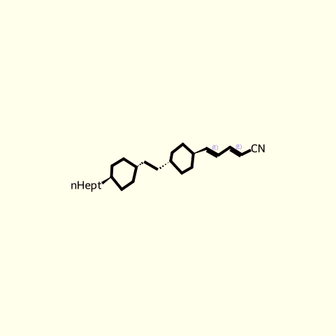 CCCCCCC[C@H]1CC[C@H](CC[C@H]2CC[C@H](/C=C/C=C/C#N)CC2)CC1